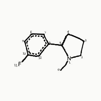 CN1CCCC1c1cccc(F)c1